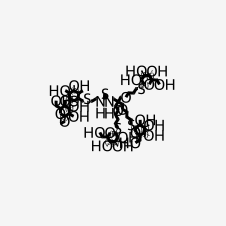 CO[C@H]1OC(CO)C(O[C@H]2OC(CSCCNC(=S)NCC(COCCCS[C@H]3OC(CO)[C@@H](O)[C@H](O)C3O)(COCCCS[C@H]3OC(CO)[C@@H](O)[C@H](O)C3O)COCCCS[C@@H]3OC(CO)[C@@H](O)[C@H](O)C3O)C(C)[C@H](O)C2O)[C@H](O)C1O